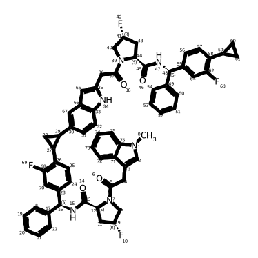 Cn1cc(CC(=O)N2C[C@H](F)C[C@H]2C(=O)N[C@@H](c2ccccc2)c2ccc(C3CC3c3ccc4[nH]c(CC(=O)N5C[C@H](F)C[C@H]5C(=O)N[C@@H](c5ccccc5)c5ccc(C6CC6)c(F)c5)cc4c3)c(F)c2)c2ccccc21